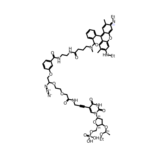 CC/N=c1/cc2oc3cc(NCC)c(C)cc3c(-c3ccccc3C(=O)N(C)CCCC(=O)NCCNC(=O)c3cccc(OCC(N=[N+]=[N-])OCCOCC(=O)NCC#Cc4cn([C@H]5CC(O[C@@H](C)OCC)[C@@H](COP(=O)(O)O)O5)c(=O)[nH]c4=O)c3)c-2cc1C